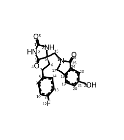 O=C1NC(=O)[C@@](CCc2ccc(F)cc2)(CN2Cc3ccc(O)cc3C2=O)N1